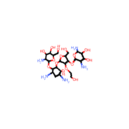 NC1CC(N)C(OC2OC(CO)C(O)C(O)C2N)C(OC2OC(CO)C(OC3OC(N)C(O)C(O)C3N)C2OCCO)C1O